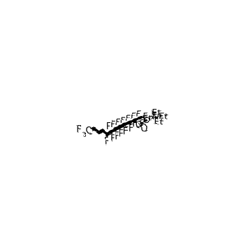 CC[N+](CC)(CC)CC.O=S(=O)([O-])C(F)(F)C(F)(F)C(F)(F)C(F)(F)C(F)(F)C(F)(F)C(F)(F)C(F)CCCC(F)(F)F